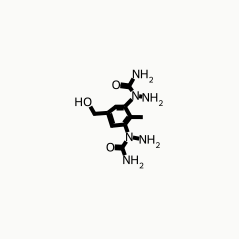 Cc1c(N(N)C(N)=O)cc(CO)cc1N(N)C(N)=O